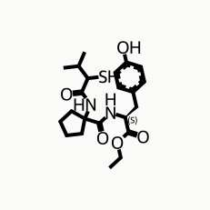 CCOC(=O)[C@H](Cc1ccc(O)cc1)NC(=O)C1(NC(=O)C(S)C(C)C)CCCC1